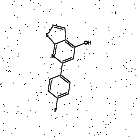 Oc1cc(-c2ccc(F)cc2)nc2sccc12